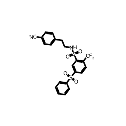 N#Cc1ccc(CCNS(=O)(=O)c2cc(S(=O)(=O)c3ccccc3)ccc2C(F)(F)F)cc1